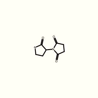 O=C1[N]CCC1N1C(=O)CCC1=O